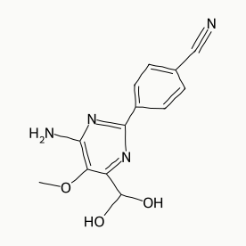 COc1c(N)nc(-c2ccc(C#N)cc2)nc1C(O)O